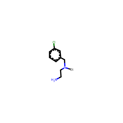 CCN(CCN)Cc1cccc(Cl)c1